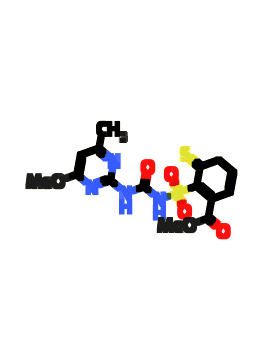 COC(=O)C1=C(S(=O)(=O)NC(=O)Nc2nc(C)cc(OC)n2)C(=S)CC=C1